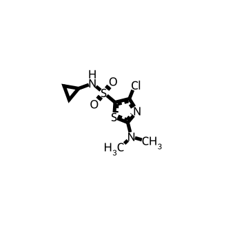 CN(C)c1nc(Cl)c(S(=O)(=O)NC2CC2)s1